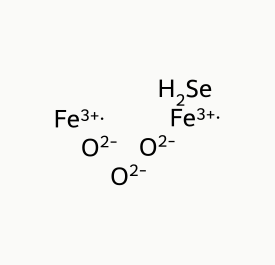 [Fe+3].[Fe+3].[O-2].[O-2].[O-2].[SeH2]